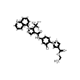 CCOC(=O)c1cnn(-c2ccc(NC(=O)c3cnn(-c4cccc5ncccc45)c3C(F)(F)F)cc2Cl)c1